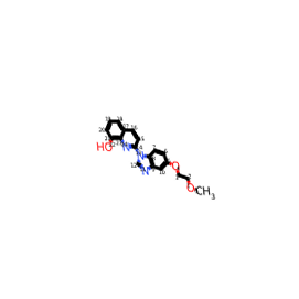 COCCOc1ccc2c(c1)ncn2-c1ccc2cccc(O)c2n1